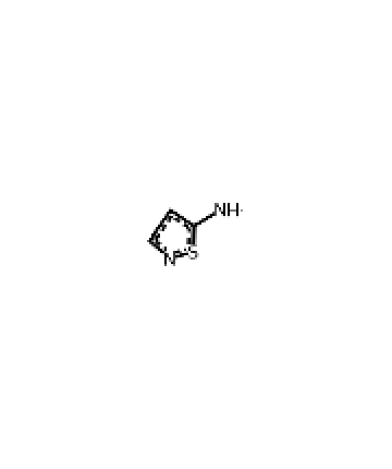 [NH]c1ccns1